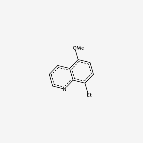 CCc1ccc(OC)c2cccnc12